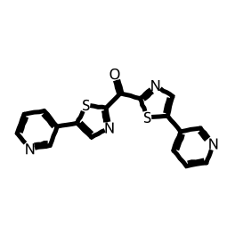 O=C(c1ncc(-c2cccnc2)s1)c1ncc(-c2cccnc2)s1